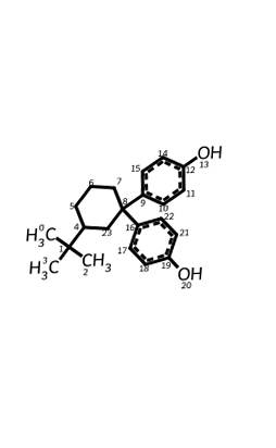 CC(C)(C)C1CCCC(c2ccc(O)cc2)(c2ccc(O)cc2)C1